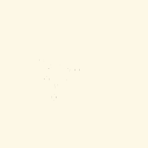 CCCCCCOB1OB(OCCCCCC)OB(OCCCCCC)O1